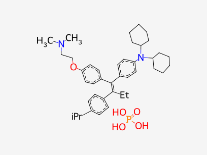 CCC(=C(c1ccc(OCCN(C)C)cc1)c1ccc(N(C2CCCCC2)C2CCCCC2)cc1)c1ccc(C(C)C)cc1.O=P(O)(O)O